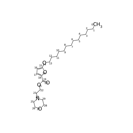 CCCCCCCCCCCCCCOc1ccc(C(=O)OCCN2CCOCC2)o1